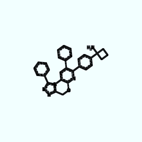 NC1(c2ccc(-c3nc4c(cc3-c3ccccc3)-n3c(nnc3-c3ccccc3)CO4)cc2)CCC1